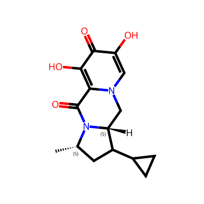 C[C@H]1CC(C2CC2)[C@H]2Cn3cc(O)c(=O)c(O)c3C(=O)N21